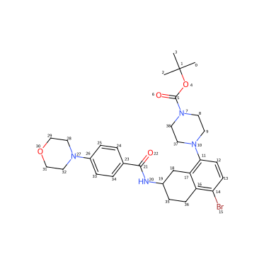 CC(C)(C)OC(=O)N1CCN(c2ccc(Br)c3c2CC(NC(=O)c2ccc(N4CCOCC4)cc2)CC3)CC1